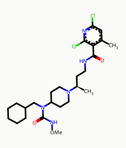 CONC(=O)N(CC1CCCCC1)C1CCN([C@H](C)CCNC(=O)c2c(C)cc(Cl)nc2Cl)CC1